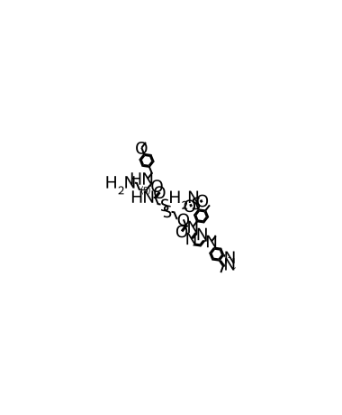 COc1ccc(CNC(=O)[C@H](CCN)NC(=O)CSSCCOC(=O)N(c2ccc(C)c(S(N)(=O)=O)c2)c2nccc(N(C)c3ccc4c(C)n(C)nc4c3)n2)cc1